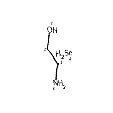 NCCO.[SeH2]